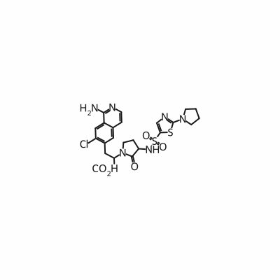 Nc1nccc2cc(CC(C(=O)O)N3CCC(NS(=O)(=O)c4cnc(N5CCCC5)s4)C3=O)c(Cl)cc12